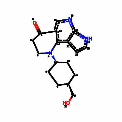 O=C1CCN([C@H]2CC[C@H](CO)CC2)c2c1cnc1[nH]ccc21